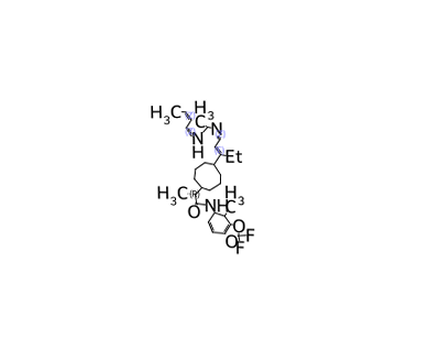 C/C=C\C=C/NC(C)/N=C\C=C(/CC)C1CCCC([C@@H](C)C(=O)NC2C=CC3=C(OC(F)(F)O3)C2C)CCC1